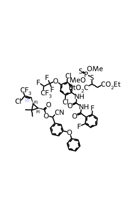 CC1(C)[C@H](C(=O)OC(C#N)c2cccc(Oc3ccccc3)c2)[C@@H]1/C=C(\Cl)C(F)(F)F.CCOC(=O)CC(SP(=S)(OC)OC)C(=O)OCC.O=C(NC(=O)c1c(F)cccc1F)Nc1cc(Cl)c(OC(F)(F)C(F)C(F)(F)F)cc1Cl